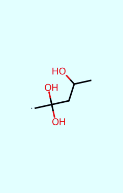 [CH2]C(O)(O)CC(C)O